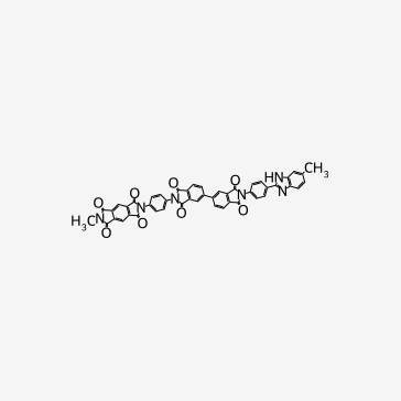 Cc1ccc2nc(-c3ccc(N4C(=O)c5ccc(-c6ccc7c(c6)C(=O)N(c6ccc(-n8c(=O)c9cc%10c(=O)n(C)c(=O)c%10cc9c8=O)cc6)C7=O)cc5C4=O)cc3)[nH]c2c1